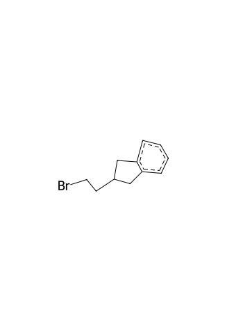 BrCCC1Cc2ccccc2C1